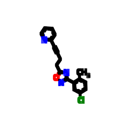 Cc1ccc(Cl)cc1-c1noc(CCC#Cc2ccccn2)n1